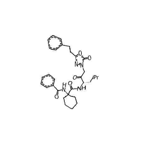 CC(C)C[C@H](NC(=O)C1(NC(=O)c2ccccc2)CCCCC1)C(=O)Cn1nc(CCc2ccccc2)oc1=O